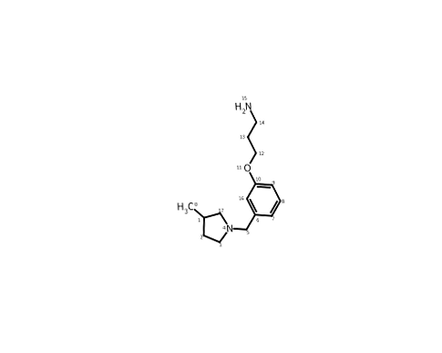 CC1CCN(Cc2cccc(OCCCN)c2)C1